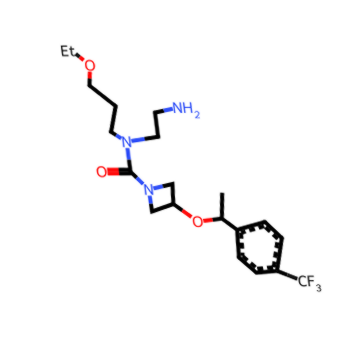 CCOCCCN(CCN)C(=O)N1CC(OC(C)c2ccc(C(F)(F)F)cc2)C1